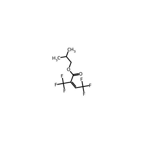 CC(C)COC(=O)C(=CC(F)(F)F)C(F)(F)F